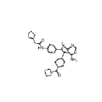 Cn1c(-c2ccc(NC(=O)CC3=CCCC3)cc2)c(-c2ccc(C(=O)N3CCCC3)cc2)c2c(N)ncnc21